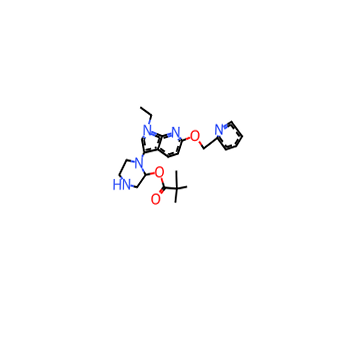 CCn1cc(N2CCNCC2OC(=O)C(C)(C)C)c2ccc(OCc3ccccn3)nc21